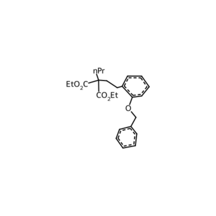 CCCC(CCc1ccccc1OCc1ccccc1)(C(=O)OCC)C(=O)OCC